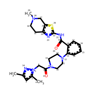 Cc1cc(C)n(CC(=O)N2CCN(c3ccccc3C(=O)Nc3nc4c(s3)CN(C)CC4)CC2)n1